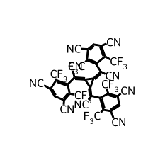 N#CC(=C1C(=C(C#N)c2c(C(F)(F)F)c(C#N)cc(C#N)c2C(F)(F)F)C1=C(C#N)c1c(C(F)(F)F)c(C#N)cc(C#N)c1C(F)(F)F)c1c(C(F)(F)F)c(C#N)cc(C#N)c1C(F)(F)F